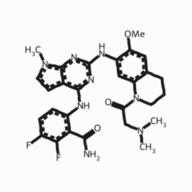 COc1cc2c(cc1Nc1nc(Nc3ccc(F)c(F)c3C(N)=O)c3ccn(C)c3n1)N(C(=O)CN(C)C)CCC2